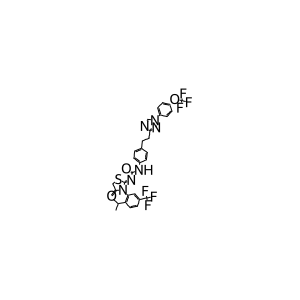 CC(C)c1ccc(C(F)(F)F)cc1N1C(=O)CS/C1=N\C(=O)Nc1ccc(CCc2ncn(-c3ccc(OC(F)(F)F)cc3)n2)cc1